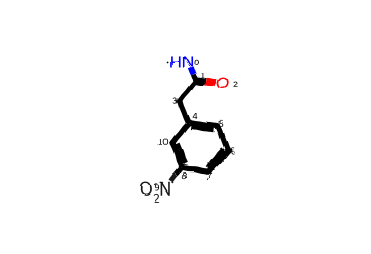 [NH]C(=O)Cc1cccc([N+](=O)[O-])c1